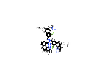 O=C(O)C(Cc1cccc(CN(Cc2cc(F)cc(CC(C(=O)O)C3CCNC3)c2)Cc2cc(F)cc(CC(C(=O)O)C3CCNC3)c2)c1)C1CCNC1